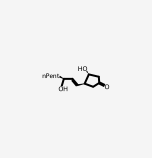 CCCCC[C@H](O)/C=C/[C@@H]1CC(=O)C[C@H]1O